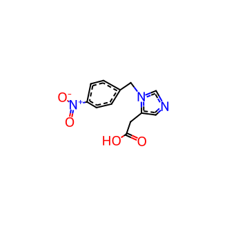 O=C(O)Cc1cncn1Cc1ccc([N+](=O)[O-])cc1